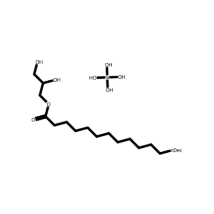 CCCCCCCCCCCCCCCCCCCCCC(=O)OCC(O)CO.O[Si](O)(O)O